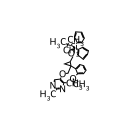 COc1ccccc1C1(COc2cnc(C)nc2C)CC1CO[Si](c1ccccc1)(c1ccccc1)C(C)(C)C